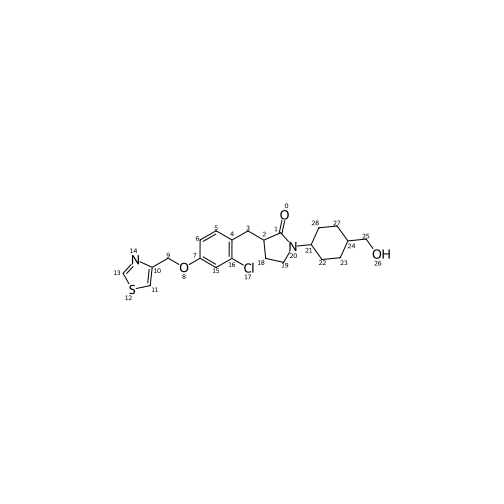 O=C1C(Cc2ccc(OCc3cscn3)cc2Cl)CCN1C1CCC(CO)CC1